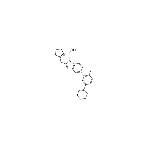 Cc1ccc(C2=CCCCC2)cc1-c1ccc2[nH]c(CN3CCC[C@@H]3CO)cc2c1